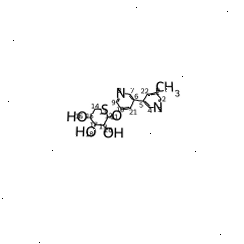 Cc1cncc(-c2cncc(O[C@@H]3SC[C@@H](O)[C@H](O)[C@H]3O)c2)c1